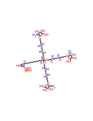 NC1C(OCCCCC(=O)NCCCNC(=O)CCOCC(COCCC(=O)NCCCNC(=O)CCCCOC2OC(CO)C(O)C(O)C2N)(COCCC(=O)NCCCNC(=O)CCCCOC2OC(CO)C(O)C(O)C2N)NC(=O)CCCCCCCCCCC(=O)N2C[C@H](O)C[C@H]2COP(=O)(O)O)OC(CO)C(O)C1O